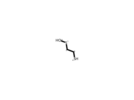 OSCCS